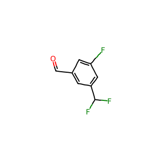 O=Cc1cc(F)cc(C(F)F)c1